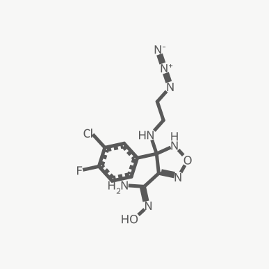 [N-]=[N+]=NCCNC1(c2ccc(F)c(Cl)c2)NON=C1C(N)=NO